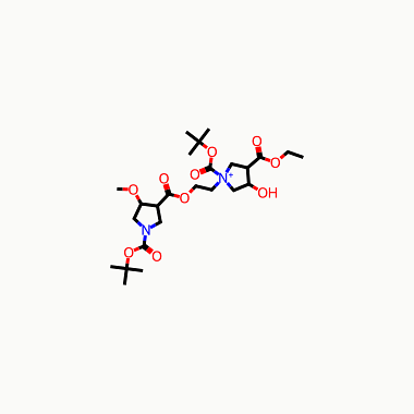 CCOC(=O)C1C[N+](CCOC(=O)C2CN(C(=O)OC(C)(C)C)CC2OC)(C(=O)OC(C)(C)C)CC1O